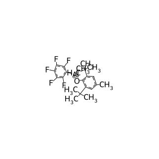 Cc1cc(C(C)(C)C)c([O][Al]([CH3])[c]2c(F)c(F)c(F)c(F)c2F)c(C(C)(C)C)c1